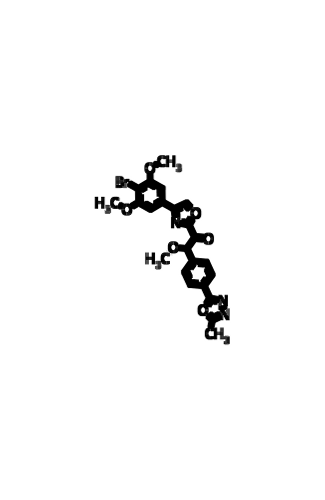 COc1cc(-c2coc(C(=O)C(OC)c3ccc(-c4nnc(C)o4)cc3)n2)cc(OC)c1Br